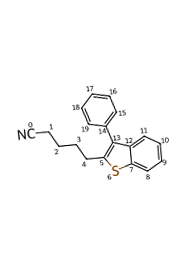 N#CCCCCc1sc2ccccc2c1-c1ccccc1